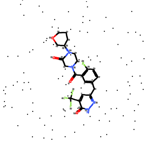 O=C(c1cc(Cc2cc(C(F)(F)F)c(=O)[nH]n2)ccc1F)N1CCN([C@@H]2CCCOC2)C(=O)C1